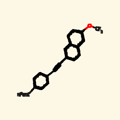 CCCCCc1ccc(C#Cc2ccc3cc(OC(F)(F)F)ccc3c2)cc1